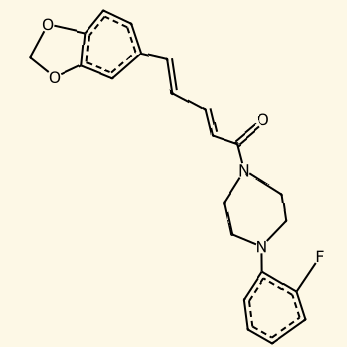 O=C(C=CC=Cc1ccc2c(c1)OCO2)N1CCN(c2ccccc2F)CC1